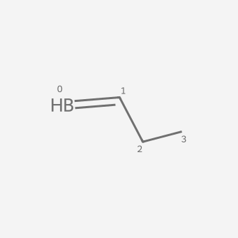 B=CCC